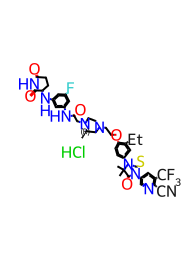 CCc1cc(N2C(=S)N(c3cnc(C#N)c(C(F)(F)F)c3)C(=O)C2(C)C)ccc1OCCN1CCN(CC(=O)Nc2cc(F)cc(NC3CCC(=O)NC3=O)c2)[C@H](C)C1.Cl